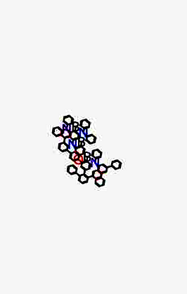 c1ccc(-c2cc(-c3ccccc3)cc(N3c4ccccc4B4c5cc6c(cc5Oc5cc(-c7c(-c8ccccc8)cccc7-c7ccccc7)cc3c54)N(c3c(-c4ccccc4)cccc3-c3ccccc3)c3cc4c5c7c3B6c3ccccc3N7c3ccccc3B5c3ccccc3N4c3ccccc3)c2)cc1